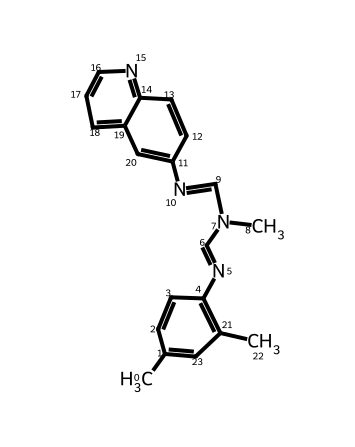 Cc1ccc(/N=C/N(C)/C=N/c2ccc3ncccc3c2)c(C)c1